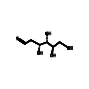 OC[C@@H](O)[C@@H](O)[C@H](O)CC=S